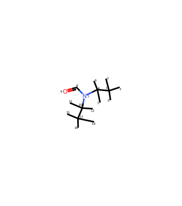 CC(C)(C)C(C)(C)N(C=O)C(C)(C)C(C)(C)C